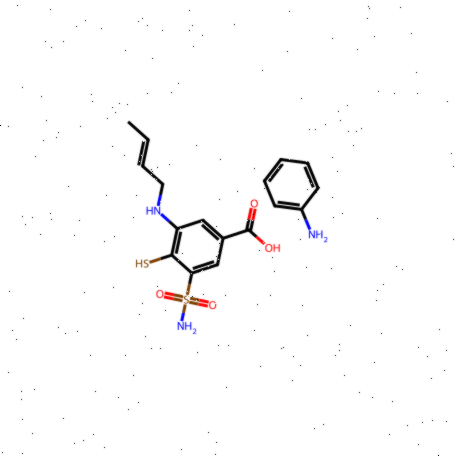 CC=CCNc1cc(C(=O)O)cc(S(N)(=O)=O)c1S.Nc1ccccc1